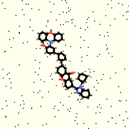 O=c1c2cc(-c3cccc(-c4ccc5c(c4)N4c6ccccc6Oc6cccc(c64)O5)c3)ccc2oc2ccc(-c3nc4ccccc4n3-c3ccccc3)cc12